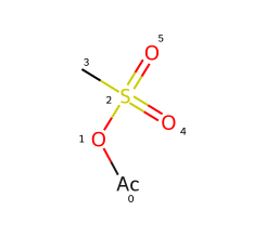 CC(=O)OS(C)(=O)=O